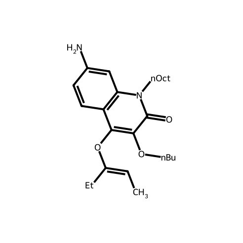 CC=C(CC)Oc1c(OCCCC)c(=O)n(CCCCCCCC)c2cc(N)ccc12